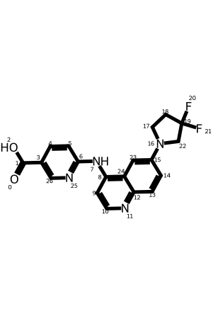 O=C(O)c1ccc(Nc2ccnc3ccc(N4CCC(F)(F)C4)cc23)nc1